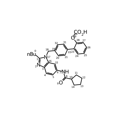 CCCCc1nc2ccc(NC(=O)C3CCCC3)cc2n1Cc1ccc(-c2ccccc2OC(=O)O)cc1